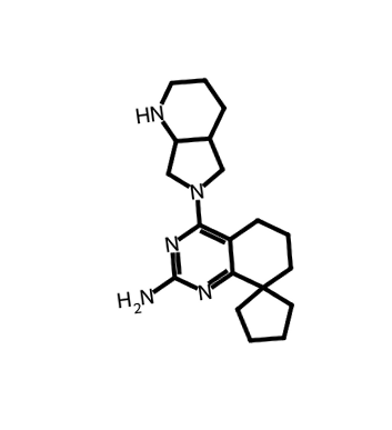 Nc1nc(N2CC3CCCNC3C2)c2c(n1)C1(CCCC1)CCC2